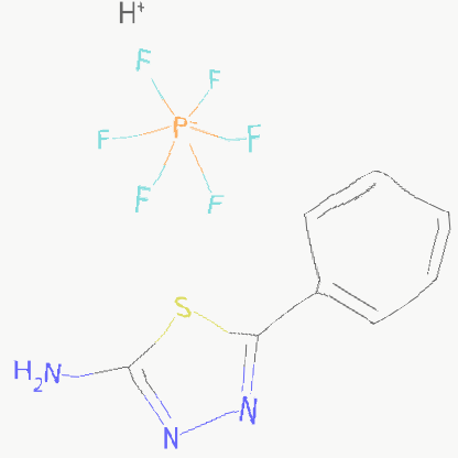 F[P-](F)(F)(F)(F)F.Nc1nnc(-c2ccccc2)s1.[H+]